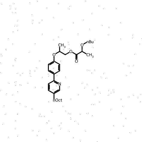 CCCCCCCCc1ccc(-c2ccc(OC(C)COC(=O)C(C)OCCCC)cc2)nc1